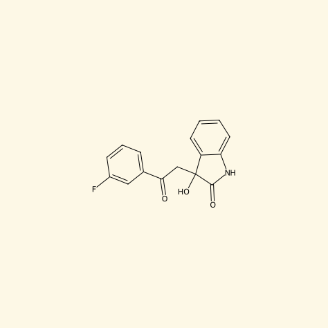 O=C(CC1(O)C(=O)Nc2ccccc21)c1cccc(F)c1